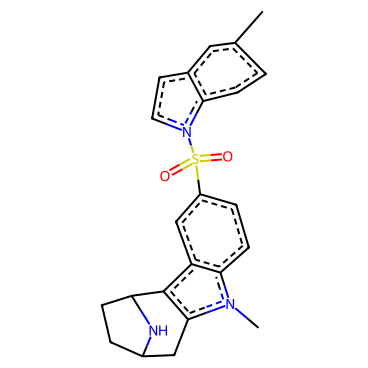 Cc1ccc2c(ccn2S(=O)(=O)c2ccc3c(c2)c2c(n3C)CC3CCC2N3)c1